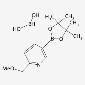 COCc1ccc(B2OC(C)(C)C(C)(C)O2)cn1.OBO